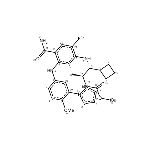 COc1ncc(Nc2nc(N[C@H](C3CCC3)[C@H](C)NC(=O)OC(C)(C)C)c(F)cc2C(N)=O)cc1-n1nccn1